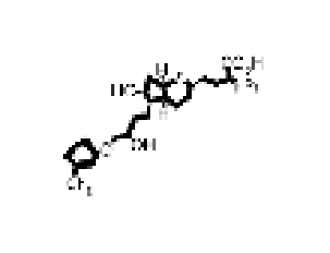 CCCC(CC[C@H]1CC[C@@H]2[C@@H](/C=C/[C@@H](O)COc3cccc(C(F)(F)F)c3)[C@H](O)C[C@@H]2S1)C(=O)O